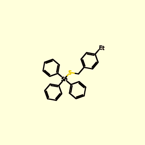 CCc1ccc(C[S][Sn]([c]2ccccc2)([c]2ccccc2)[c]2ccccc2)cc1